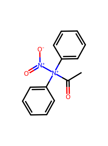 CC(=O)[N+](c1ccccc1)(c1ccccc1)[N+](=O)[O-]